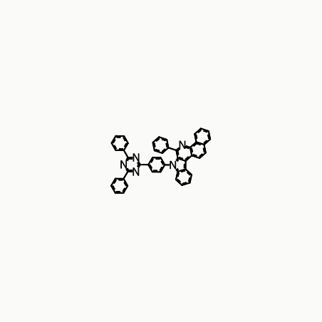 c1ccc(-c2nc(-c3ccccc3)nc(-c3ccc(-n4c5ccccc5c5c6ccc7ccccc7c6nc(-c6ccccc6)c54)cc3)n2)cc1